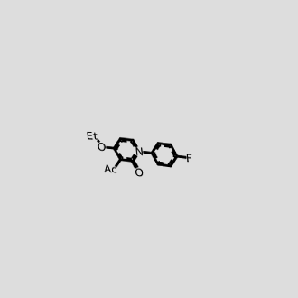 CCOc1ccn(-c2ccc(F)cc2)c(=O)c1C(C)=O